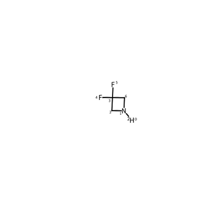 [2H]N1CC(F)(F)C1